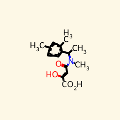 Cc1ccc(C(C)N(C)C(=O)/C=C(\O)C(=O)O)c(C)c1